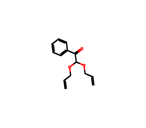 C=CCOC(OCC=C)C(=O)c1ccccc1